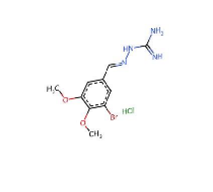 COc1cc(C=NNC(=N)N)cc(Br)c1OC.Cl